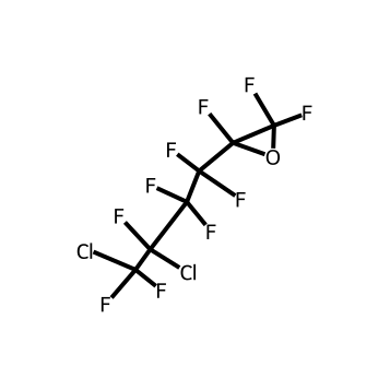 FC(F)(Cl)C(F)(Cl)C(F)(F)C(F)(F)C1(F)OC1(F)F